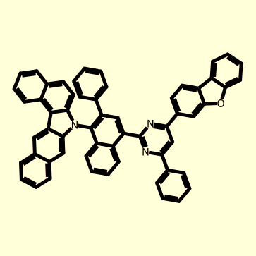 c1ccc(-c2cc(-c3ccc4c(c3)oc3ccccc34)nc(-c3cc(-c4ccccc4)c(-n4c5cc6ccccc6cc5c5c6ccccc6ccc54)c4ccccc34)n2)cc1